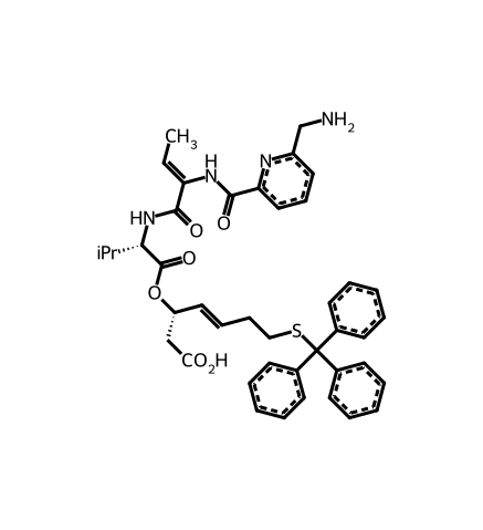 C/C=C(\NC(=O)c1cccc(CN)n1)C(=O)N[C@H](C(=O)O[C@H](/C=C/CCSC(c1ccccc1)(c1ccccc1)c1ccccc1)CC(=O)O)C(C)C